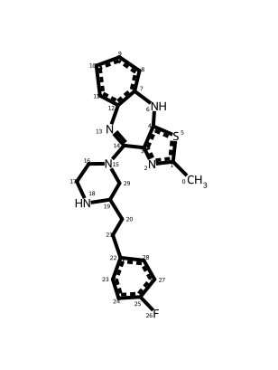 Cc1nc2c(s1)Nc1ccccc1N=C2N1CCNC(CCc2ccc(F)cc2)C1